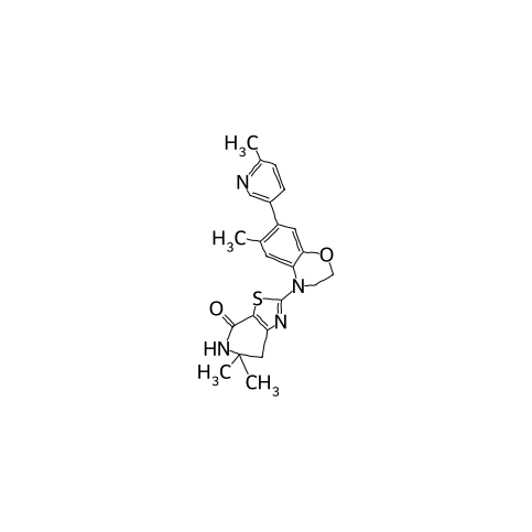 Cc1ccc(-c2cc3c(cc2C)N(c2nc4c(s2)C(=O)NC(C)(C)C4)CCO3)cn1